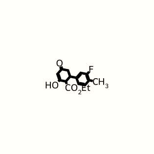 CCOC(=O)C1C(O)=CC(=O)CC1c1ccc(C)c(F)c1